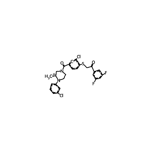 C[C@H]1CN(C(=O)c2ccc(SCC(=O)c3cc(F)cc(F)c3)c(Cl)c2)CCN1c1cccc(Cl)c1